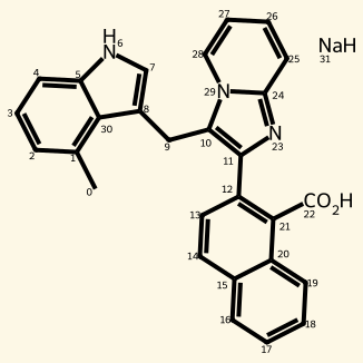 Cc1cccc2[nH]cc(Cc3c(-c4ccc5ccccc5c4C(=O)O)nc4ccccn34)c12.[NaH]